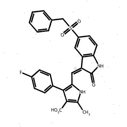 Cc1[nH]c(/C=C2\C(=O)Nc3ccc(S(=O)(=O)Cc4ccccc4)cc32)c(-c2ccc(F)cc2)c1C(=O)O